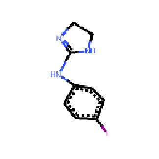 Ic1ccc(NC2=NCCN2)cc1